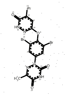 Cc1nn(-c2cc(Br)c(Oc3cc(C(C)C)c(=O)[nH]n3)c(Br)c2)c(=O)[nH]c1=O